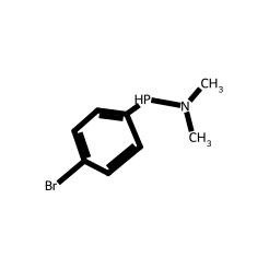 CN(C)Pc1ccc(Br)cc1